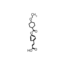 CCOC1CCC(C(=O)Oc2ccc(C=CC(=O)O)cc2)CC1